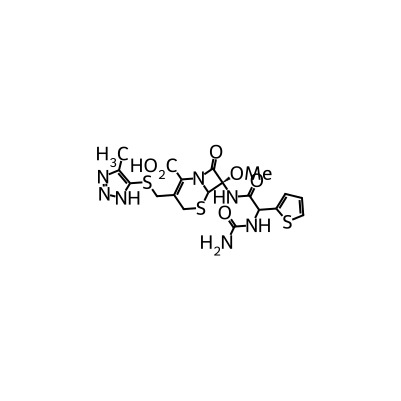 CO[C@]1(NC(=O)C(NC(N)=O)c2cccs2)C(=O)N2C(C(=O)O)=C(CSc3[nH]nnc3C)CSC21